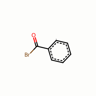 O=C(Br)c1[c]cccc1